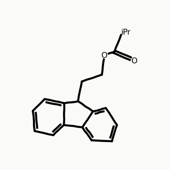 CC(C)C(=O)OCCC1c2ccccc2-c2ccccc21